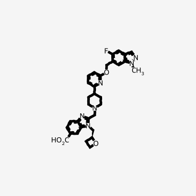 Cn1ncc2cc(F)c(COc3cccc(C4CCN(Cc5nc6ccc(C(=O)O)cc6n5C[C@@H]5CCO5)CC4)n3)cc21